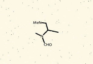 CNCC(C)N(C)C=O